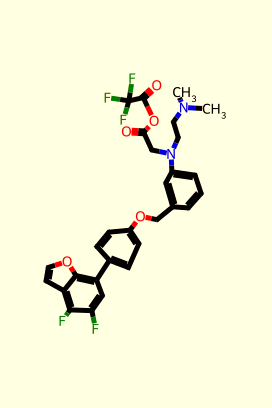 CN(C)CCN(CC(=O)OC(=O)C(F)(F)F)c1cccc(COc2ccc(-c3cc(F)c(F)c4ccoc34)cc2)c1